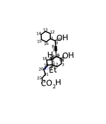 CC[C@]12CC[C@@H](O)[C@H](C#CC(O)C3CCCCC3)[C@H]1C/C2=C/CCC(=O)O